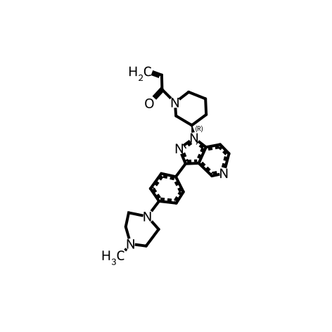 C=CC(=O)N1CCC[C@@H](n2nc(-c3ccc(N4CCN(C)CC4)cc3)c3cnccc32)C1